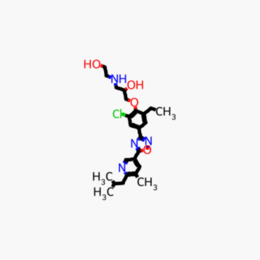 CCc1cc(-c2noc(-c3cnc(CC(C)C)c(C)c3)n2)cc(Cl)c1OCC(O)CNCCO